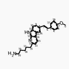 COc1ccc(C=Cc2ccc3[nH]c4nc(CCCCCN)ccc4c3c2)cc1